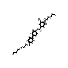 CCCCCCCCOc1ccc(-c2ccc(OC(=O)c3ccc(OCCCCC)c(F)c3)cc2)cc1